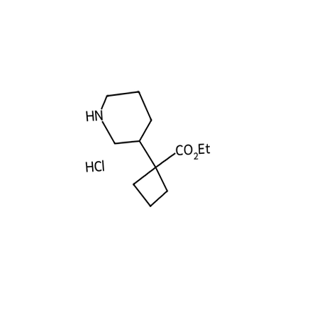 CCOC(=O)C1(C2CCCNC2)CCC1.Cl